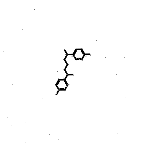 Cc1ccc(C(C)CCCC(C)c2ccc(C)cc2)cc1